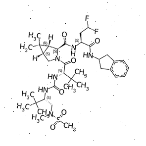 CN(C[C@@H](NC(=O)N[C@H](C(=O)N1C[C@H]2[C@@H]([C@H]1C(=O)N[C@@H](CC(F)F)C(=O)NC1Cc3ccccc3C1)C2(C)C)C(C)(C)C)C(C)(C)C)S(C)(=O)=O